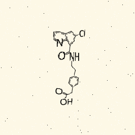 O=C(O)Cc1ccc(CCNC(=O)c2cc(Cl)cc3cccnc23)cc1